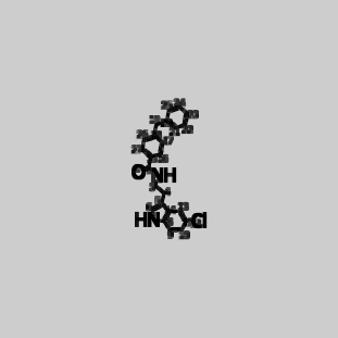 O=C(NCCc1c[nH]c2ccc(Cl)cc12)c1ccc(Cc2ccccc2)cc1